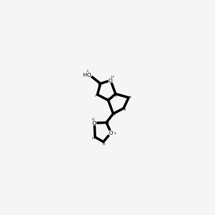 OC1CC2C(CCC2C2OCCO2)O1